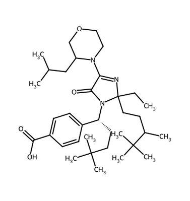 CCC1(CCC(C)C(C)(C)C)N=C(N2CCOCC2CC(C)C)C(=O)N1[C@H](CCC(C)(C)C)c1ccc(C(=O)O)cc1